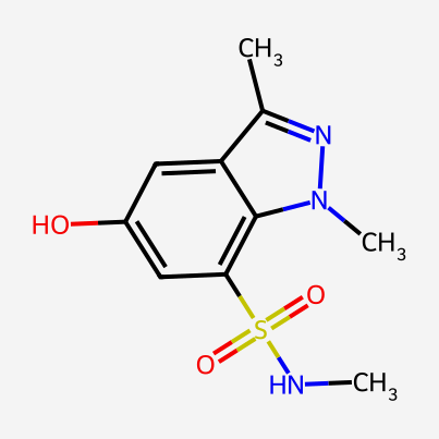 CNS(=O)(=O)c1cc(O)cc2c(C)nn(C)c12